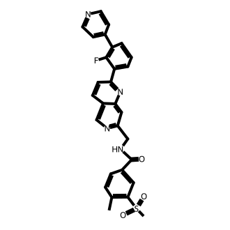 Cc1ccc(C(=O)NCc2cc3nc(-c4cccc(-c5ccncc5)c4F)ccc3cn2)cc1S(C)(=O)=O